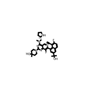 C#Cc1c(F)ccc2cc(C(C)(C)O)cc(-c3ncc4c(N(C)C[C@@H]5CCCN5)nc(N5CCC(C)(O)CC5)nc4c3F)c12